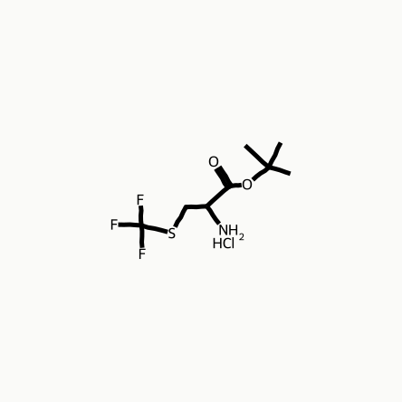 CC(C)(C)OC(=O)C(N)CSC(F)(F)F.Cl